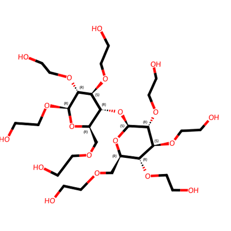 OCCOC[C@H]1O[C@@H](O[C@H]2[C@H](OCCO)[C@@H](OCCO)[C@H](OCCO)O[C@@H]2COCCO)[C@H](OCCO)[C@@H](OCCO)[C@@H]1OCCO